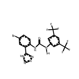 O=C(Nc1ccc(Br)cc1-c1nnn[nH]1)N(S)c1cc(C(F)(F)F)cc(C(F)(F)F)c1